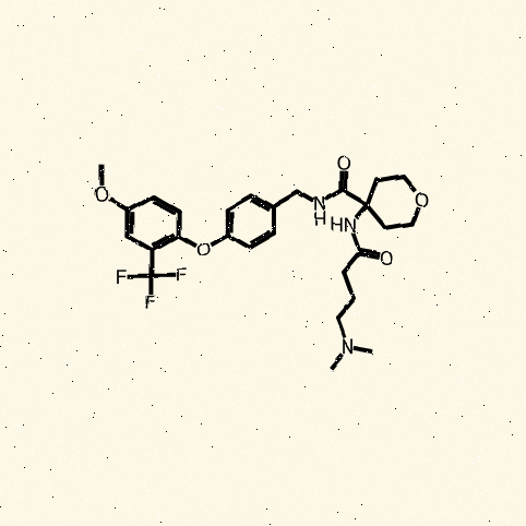 COc1ccc(Oc2ccc(CNC(=O)C3(NC(=O)CCCN(C)C)CCOCC3)cc2)c(C(F)(F)F)c1